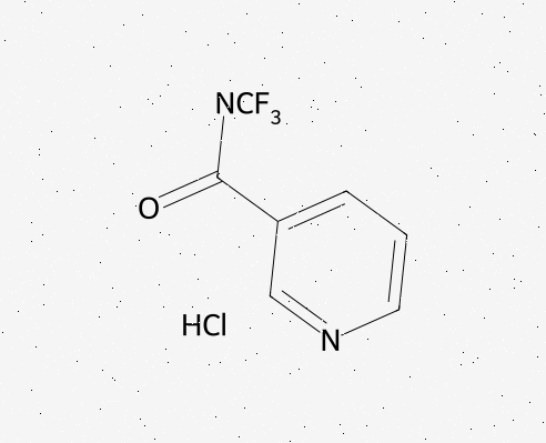 Cl.O=C(NC(F)(F)F)c1cccnc1